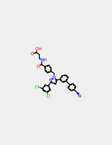 N#Cc1ccc(-c2cccc(-c3cc(-c4cc(Cl)cc(Cl)c4)nn3Cc3ccc(C(=O)NCCC(=O)O)cc3)c2)cc1